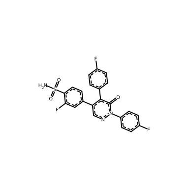 NS(=O)(=O)c1ccc(-c2cnn(-c3ccc(F)cc3)c(=O)c2-c2ccc(F)cc2)cc1F